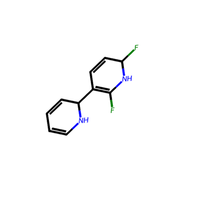 FC1=C(C2C=CC=CN2)C=CC(F)N1